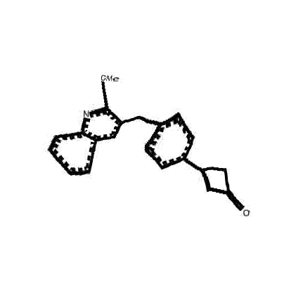 COc1nc2ccccc2cc1Cc1ccc(C2CC(=O)C2)cc1